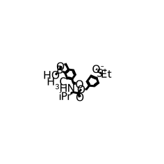 CC[S+]([O-])c1ccc(COC(=O)C(NC(=O)c2ccc3c(c2C)B(O)OC3)C(C)C)cc1